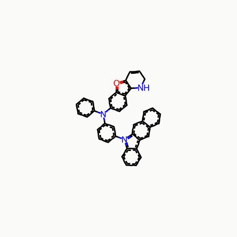 C1=Cc2oc3cc(N(c4ccccc4)c4cccc(-n5c6ccccc6c6cc7ccccc7cc65)c4)ccc3c2NC1